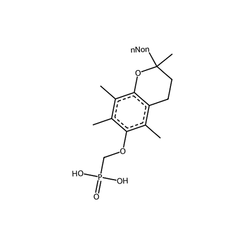 CCCCCCCCCC1(C)CCc2c(C)c(OCP(=O)(O)O)c(C)c(C)c2O1